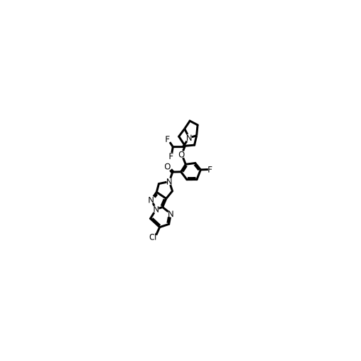 O=C(c1ccc(F)cc1OC1CC2CCC(C1)N2CC(F)F)N1Cc2nn3cc(Cl)cnc3c2C1